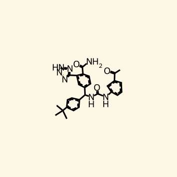 CC(=O)c1cccc(NC(=O)NC(c2ccc(C(C)(C)C)cc2)c2ccc(C(N)=O)c(-c3nn[nH]n3)c2)c1